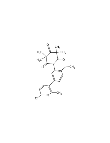 CCc1ccc(-c2ccc(Cl)nc2C)cc1C1C(=O)C(C)(C)C(=O)C(C)(C)C1=O